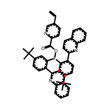 C=Cc1ccc(C(=O)[O][Ir]([c]2cc(C(C)(C)C)ccc2-c2ccc3ccccc3n2)[c]2cc(C(C)(C)C)ccc2-c2ccc3ccccc3n2)nc1